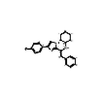 Fc1ccc(-c2c[nH]c(C(Cc3ccccc3)NC3CCCCC3)n2)cc1